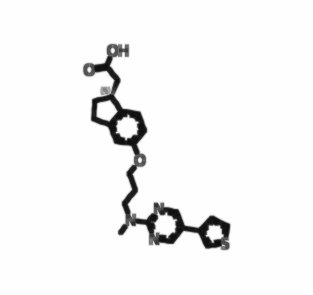 CN(CCCOc1ccc2c(c1)CC[C@H]2CC(=O)O)c1ncc(-c2ccsc2)cn1